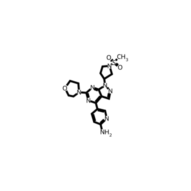 CS(=O)(=O)N1CCC(n2ncc3c(-c4ccc(N)nc4)nc(N4CCOCC4)nc32)C1